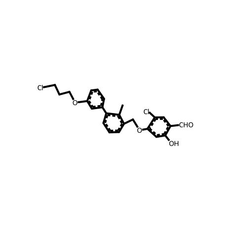 Cc1c(COc2cc(O)c(C=O)cc2Cl)cccc1-c1cccc(OCCCCl)c1